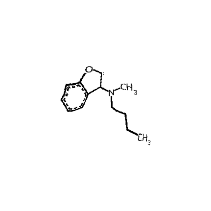 CCCCN(C)C1[C]Oc2ccccc21